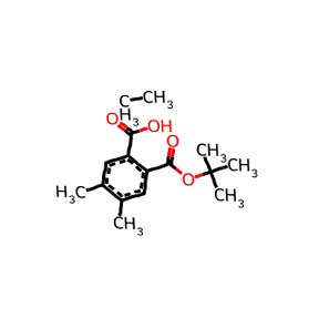 CC.Cc1cc(C(=O)O)c(C(=O)OC(C)(C)C)cc1C